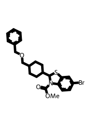 COC(=O)N1c2ccc(Br)cc2SC1C1CCC(COCc2ccccc2)CC1